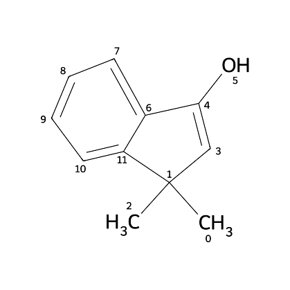 CC1(C)C=C(O)c2ccccc21